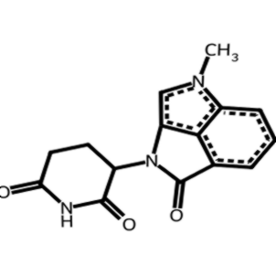 Cn1cc2c3c(cccc31)C(=O)N2C1CCC(=O)NC1=O